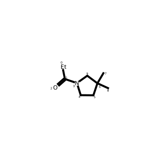 CCC(=O)N1CCC(C)(C)C1